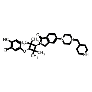 CC1(C)[C@H](Oc2ccc(C#N)c(Cl)c2)C(C)(C)[C@H]1N1Cc2cc(N3CCN(CC4CCNCC4)CC3)ccc2C1=O